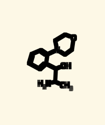 CC(N)C(O)c1ccccc1N1CCOCC1